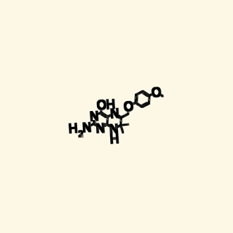 COc1ccc(OCC2=Nc3c(O)nc(N)nc3NC2(C)C)cc1